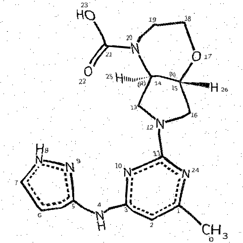 Cc1cc(Nc2cc[nH]n2)nc(N2C[C@@H]3[C@@H](C2)OCCN3C(=O)O)n1